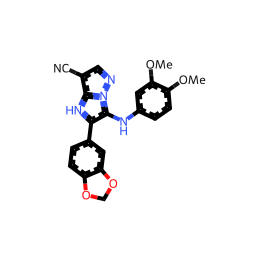 COc1ccc(Nc2c(-c3ccc4c(c3)OCO4)[nH]c3c(C#N)cnn23)cc1OC